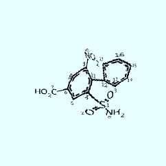 NS(=O)(=O)c1cc(C(=O)O)cc([N+](=O)[O-])c1-c1ccccc1